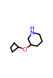 C1CC(OC2CCCNC2)C1